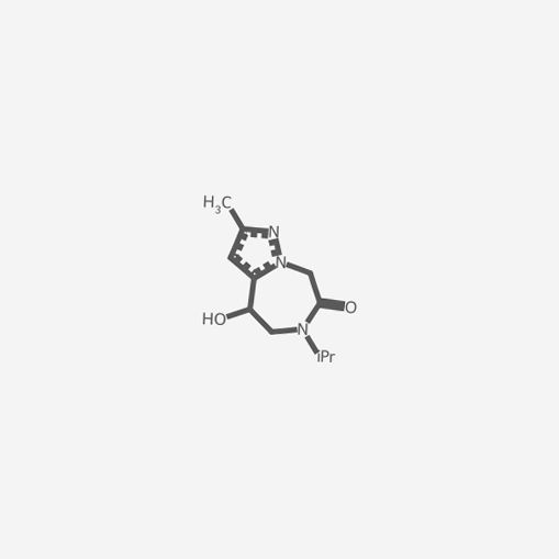 Cc1cc2n(n1)CC(=O)N(C(C)C)CC2O